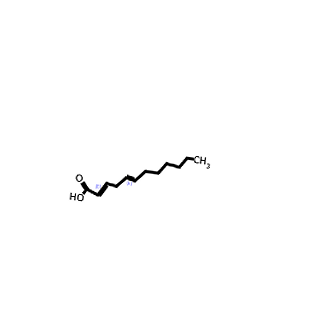 CCCCCC/C=C/C/C=C/C(=O)O